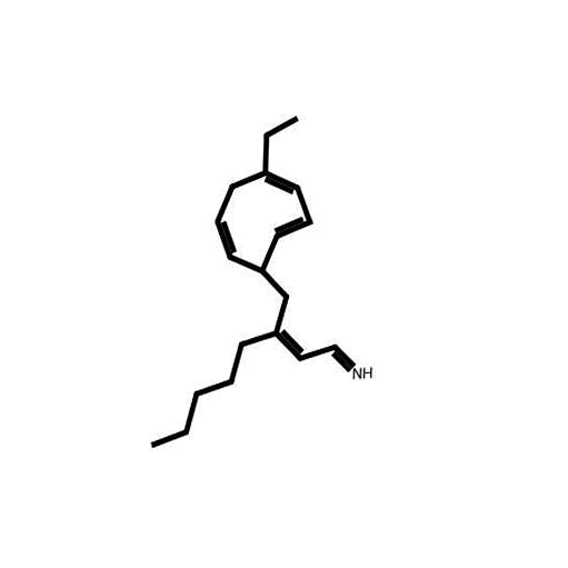 CCCCC/C(=C/C=N)CC1/C=C\C/C(CC)=C\C=C\1